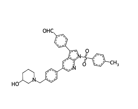 Cc1ccc(S(=O)(=O)n2cc(-c3ccc(C=O)cc3)c3cc(-c4ccc(CN5CCCC(O)C5)cc4)cnc32)cc1